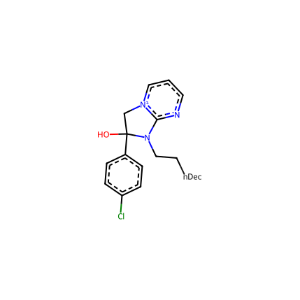 CCCCCCCCCCCCN1c2nccc[n+]2CC1(O)c1ccc(Cl)cc1